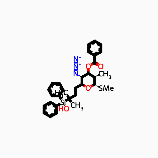 CS[C@@H]1OC(CCC(C)(C)[Si](O)(c2ccccc2)c2ccccc2)[C@H](N=[N+]=[N-])C(OC(=O)c2ccccc2)[C@@H]1C